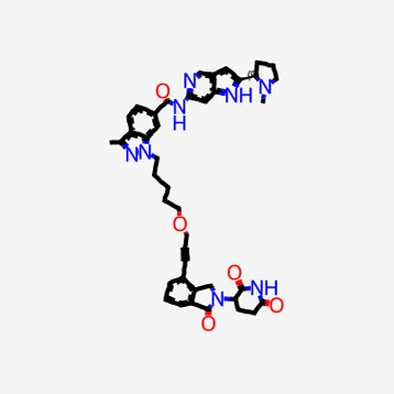 Cc1nn(CCCCCOCC#Cc2cccc3c2CN(C2CCC(=O)NC2=O)C3=O)c2cc(C(=O)Nc3cc4[nH]c([C@H]5CCCN5C)cc4cn3)ccc12